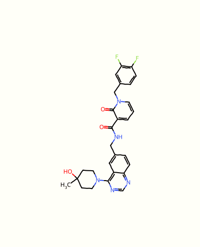 CC1(O)CCN(c2ncnc3ccc(CNC(=O)c4cccn(Cc5ccc(F)c(F)c5)c4=O)cc23)CC1